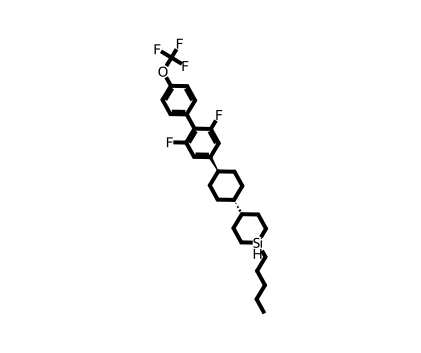 CCCCC[SiH]1CCC([C@H]2CC[C@H](c3cc(F)c(-c4ccc(OC(F)(F)F)cc4)c(F)c3)CC2)CC1